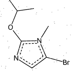 CC(C)Oc1ncc(Br)n1C